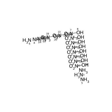 N.N.N.N.N.N.N.O=[N+]([O-])O.O=[N+]([O-])O.O=[N+]([O-])O.O=[N+]([O-])O.O=[N+]([O-])O.O=[N+]([O-])O.O=[N+]([O-])O.O=[N+]([O-])O.O=[N+]([O-])O.O=[N+]([O-])O